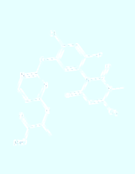 COC(=O)C(C)Oc1ccnc(Oc2cc(-n3c(=O)cc(C(F)(F)F)n(C)c3=O)c(F)cc2Cl)n1